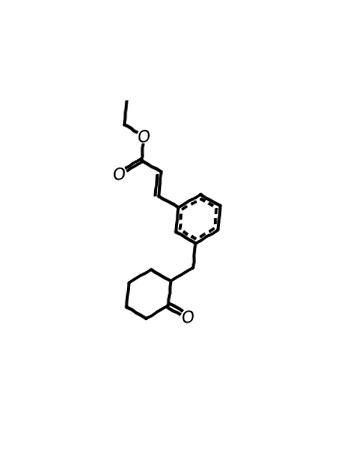 CCOC(=O)/C=C/c1cccc(CC2CCCCC2=O)c1